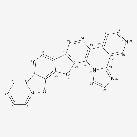 c1ccc2c(c1)oc1c2ccc2c3ccc4c5ccncc5c5nccn5c4c3oc21